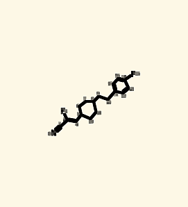 N#CC(F)=CC1CCC(CCc2ccc(F)cc2)CC1